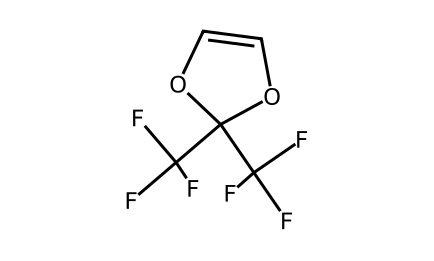 FC(F)(F)C1(C(F)(F)F)OC=CO1